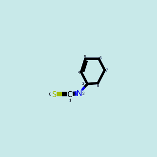 S=C=N[C]1C=CCCC1